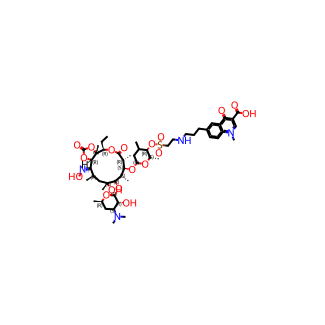 CC[C@H]1OC(=O)[C@H](C)[C@@H](O[C@H]2CC(C)[C@@H](OS(=O)(=O)CCNCCCc3ccc4c(c3)c(=O)c(C(=O)O)cn4C)[C@H](C)O2)[C@H](C)[C@@H](O[C@@H]2O[C@H](C)C[C@H](N(C)C)[C@H]2O)[C@](C)(O)C[C@@H](C)/C(=N\O)[C@H]2OC(=O)O[C@@]21C